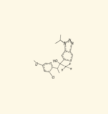 COc1ccc(C(C)C(O)(c2ccc3nnn(C(C)C)c3c2)C(F)(F)F)c(Cl)c1